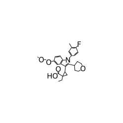 CCC1(C(=O)O)CC1c1c(C2CCOCC2)n(-c2ccc(F)c(C)c2)c2ccc(OCOC)cc12